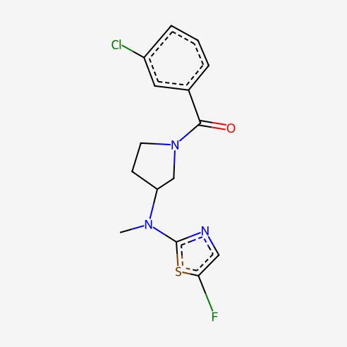 CN(c1ncc(F)s1)C1CCN(C(=O)c2cccc(Cl)c2)C1